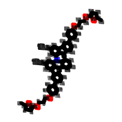 Cc1ccc(OCCCOc2ccc(-c3ccc4c(c3)-c3cc(C(C)(C)C)cc5c3B4c3cccc4c3N5c3cc(C(C)(C)C)cc5c3B4c3ccc(-c4ccc(OCCCOc6ccc(C)o6)cc4)cc3-5)cc2)o1